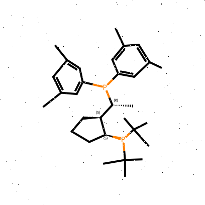 Cc1cc(C)cc(P(c2cc(C)cc(C)c2)[C@H](C)[C@@H]2CCC[C@@H]2P(C(C)(C)C)C(C)(C)C)c1